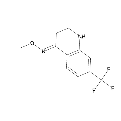 CON=C1CCNc2cc(C(F)(F)F)ccc21